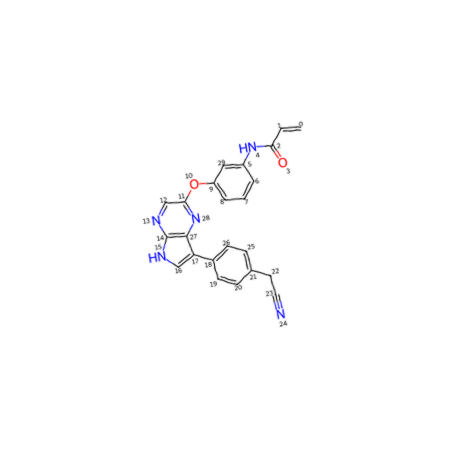 C=CC(=O)Nc1cccc(Oc2cnc3[nH]cc(-c4ccc(CC#N)cc4)c3n2)c1